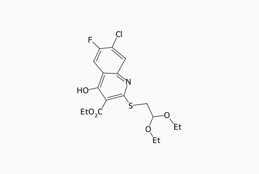 CCOC(=O)c1c(SCC(OCC)OCC)nc2cc(Cl)c(F)cc2c1O